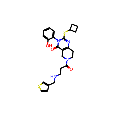 O=C(CCNCc1ccsc1)N1CCc2nc(SC3CCC3)n(-c3ccccc3O)c(=O)c2C1